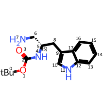 CC(C)(C)OC(=O)N[C@H](CN)Cc1c[nH]c2ccccc12